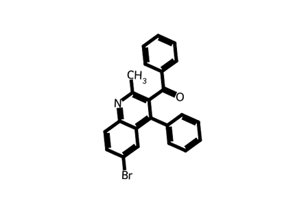 Cc1nc2ccc(Br)cc2c(-c2ccccc2)c1C(=O)c1ccccc1